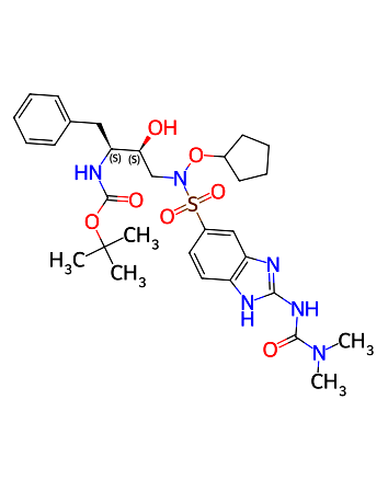 CN(C)C(=O)Nc1nc2cc(S(=O)(=O)N(C[C@H](O)[C@H](Cc3ccccc3)NC(=O)OC(C)(C)C)OC3CCCC3)ccc2[nH]1